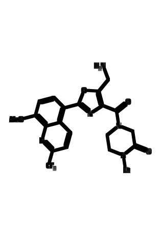 CCN1CCN(C(=O)c2nc(-c3ccc(OC)c4nc(C(F)(F)F)ccc34)oc2CN)CC1=O